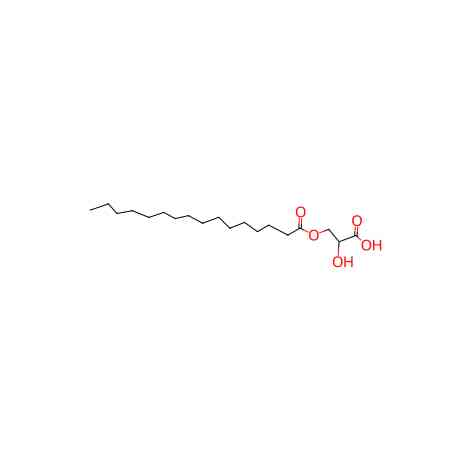 CCCCCCCCCCCCCCCC(=O)OCC(O)C(=O)O